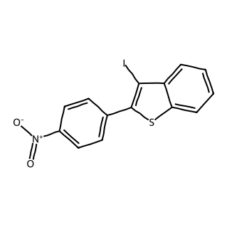 O=[N+]([O-])c1ccc(-c2sc3ccccc3c2I)cc1